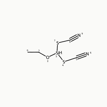 CCO[SiH](SC#N)SC#N